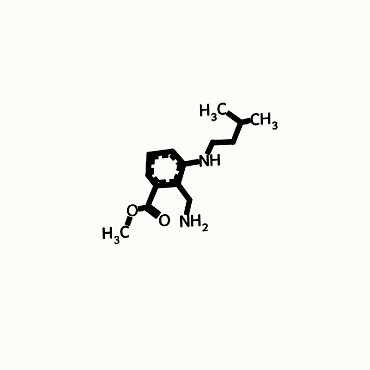 COC(=O)c1cccc(NCCC(C)C)c1CN